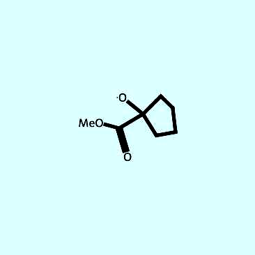 COC(=O)C1([O])CCCC1